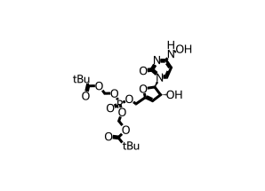 CC(C)(C)C(=O)OCOP(=O)(OCOC(=O)C(C)(C)C)OCC1=C[C@@H](O)[C@H](n2ccc(NO)nc2=O)O1